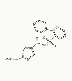 COCc1ccc(C(=O)NS(=O)(=O)c2ccccc2-c2ccccc2)cn1